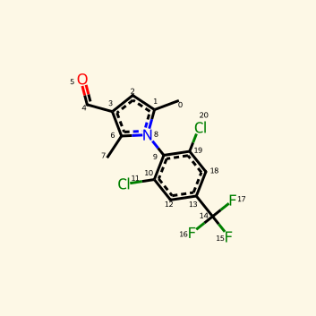 Cc1cc(C=O)c(C)n1-c1c(Cl)cc(C(F)(F)F)cc1Cl